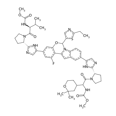 CCc1ncc(C2Oc3cc(-c4cnc([C@@H]5CCCN5C(=O)[C@@H](NC(=O)OC)C(C)C)[nH]4)cc(F)c3-c3cc4cc(-c5cnc([C@@H]6CCCN6C(=O)C(NC(=O)OC)C6CCOC(C)(C)C6)[nH]5)ccc4n32)s1